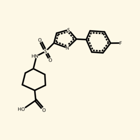 O=C(O)C1CCC(NS(=O)(=O)c2csc(-c3ccc(F)cc3)n2)CC1